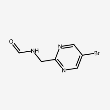 O=CNCc1ncc(Br)cn1